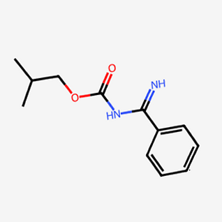 CC(C)COC(=O)NC(=N)c1cc[c]cc1